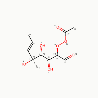 CC=C[C@](C)(O)[C@H](O)[C@H](O)[C@H](C=O)OOC(C)=O